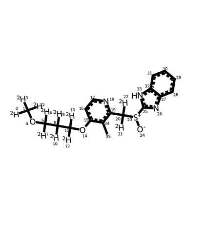 [2H]C([2H])([2H])OC([2H])([2H])C([2H])([2H])C([2H])([2H])Oc1ccnc(C([2H])([2H])[S+]([O-])c2nc3ccccc3[nH]2)c1C